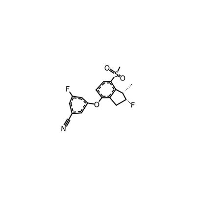 C[C@H]1c2c(S(C)(=O)=O)ccc(Oc3cc(F)cc(C#N)c3)c2C[C@H]1F